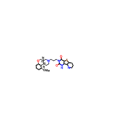 COc1cccc2c1[C@@H]1CCN(CCCn3c(=O)[nH]c4c(sc5cccnc54)c3=O)C[C@H]1CO2